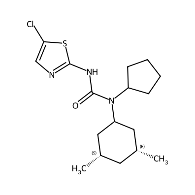 C[C@@H]1CC(N(C(=O)Nc2ncc(Cl)s2)C2CCCC2)C[C@H](C)C1